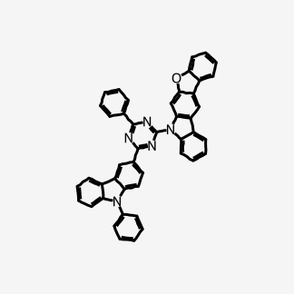 c1ccc(-c2nc(-c3ccc4c(c3)c3ccccc3n4-c3ccccc3)nc(-n3c4ccccc4c4cc5c(cc43)oc3ccccc35)n2)cc1